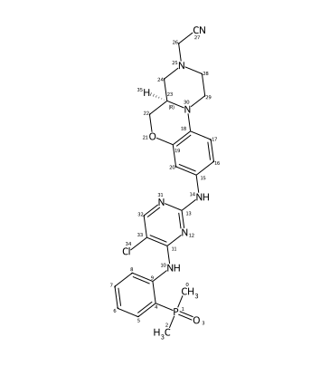 CP(C)(=O)c1ccccc1Nc1nc(Nc2ccc3c(c2)OC[C@H]2CN(CC#N)CCN32)ncc1Cl